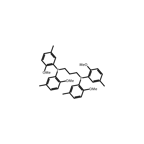 COc1ccc(C)cc1P(CCCP(c1cc(C)ccc1OC)c1cc(C)ccc1OC)c1cc(C)ccc1OC